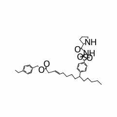 CCCCCC(CCCC/C=C/CC(=O)OCc1ccc(CC)cc1)c1ccc(S(=O)(=O)NC(=O)C2CCCN2)cc1